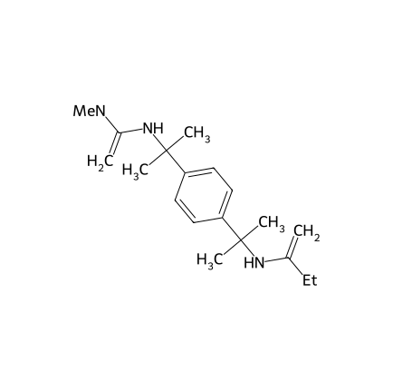 C=C(CC)NC(C)(C)c1ccc(C(C)(C)NC(=C)NC)cc1